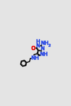 Nc1nc2[nH]cc(CNCCc3ccccc3)c2c(=O)[nH]1